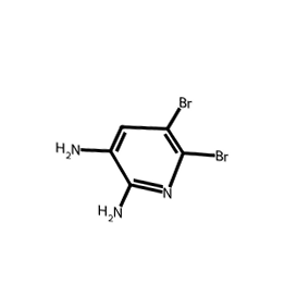 Nc1cc(Br)c(Br)nc1N